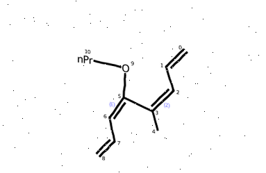 C=C/C=C(C)\C(=C/C=C)OCCC